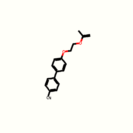 C=C(C)OCCOc1ccc(-c2ccc(C#N)cc2)cc1